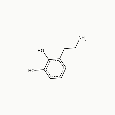 NCCc1cccc(O)c1O